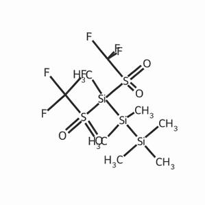 C[Si](C)(C)[Si](C)(C)[Si](C)(S(=O)(=O)C(F)(F)F)S(=O)(=O)C(F)(F)F